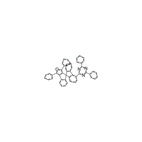 c1ccc(-c2nc(-c3ccccc3)nc(-c3cccc4c3-c3ccccc3C43c4ccccc4-c4c(-c5ccccc5)oc(-c5ccccc5)c43)n2)cc1